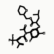 C=C(C)/C(=C\C(=O)N(C(C)=O)c1cc(SC(CC(C)C)C(=O)OCC2CCCCO2)c(Cl)cc1F)C(F)(F)F